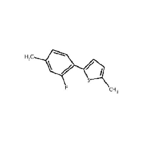 Cc1ccc(-c2ccc(C)s2)c(F)c1